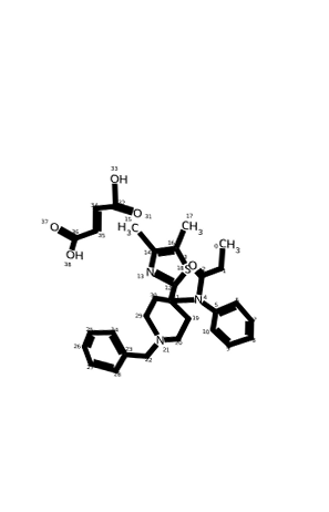 CCC(=O)N(c1ccccc1)C1(c2nc(C)c(C)s2)CCN(Cc2ccccc2)CC1.O=C(O)C=CC(=O)O